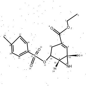 CCOC(=O)C1=C[C@@H]2N[C@@H]2C(OS(=O)(=O)c2ccc(C)cc2)C1